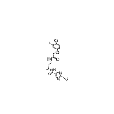 C=C(CCNC(=O)COc1ccc(Cl)c(F)c1)NC(=O)c1cnc(C2CC2)nc1